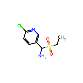 CCS(=O)(=O)C(N)c1ccc(Cl)nc1